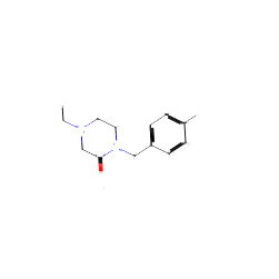 CCN1CCN(Cc2ccc(C)cc2)C(=O)C1